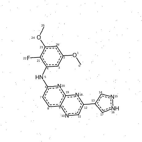 COc1cc(Nc2ccc3ncc(-c4cn[nH]c4)nc3n2)c(F)c(OC)c1